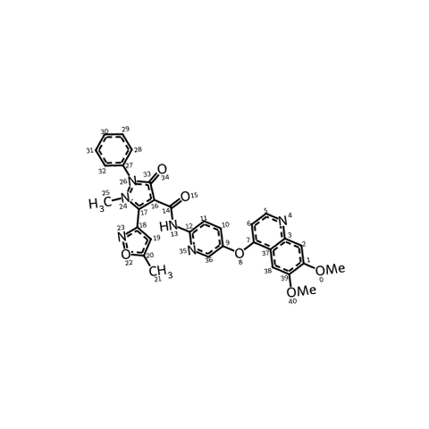 COc1cc2nccc(Oc3ccc(NC(=O)c4c(-c5cc(C)on5)n(C)n(-c5ccccc5)c4=O)nc3)c2cc1OC